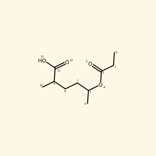 CCC(=O)OC(C)CCC(C)C(=O)O